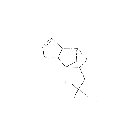 CC(C)(CC1CC2CC1C1CC=CC21)C(=O)O